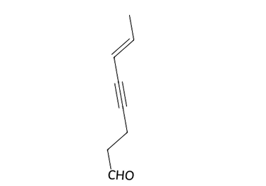 C/C=C/C#CCCC=O